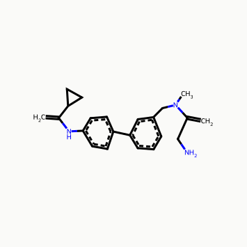 C=C(Nc1ccc(-c2cccc(CN(C)C(=C)CN)c2)cc1)C1CC1